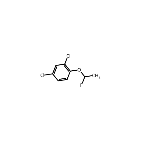 CC(F)Oc1ccc(Cl)cc1Cl